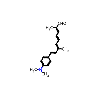 CC(C=O)=CC=CC=C(C)C=Cc1ccc(N(C)C)cc1